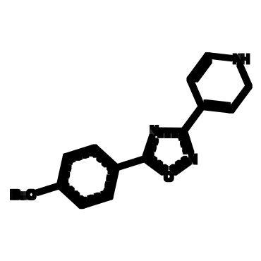 CC(C)COc1ccc(-c2nc(C3=CCNC=C3)no2)cc1